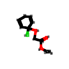 COC(=O)COC1(Cl)C=C[CH]C=C1